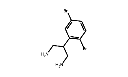 NCC(CN)c1cc(Br)ccc1Br